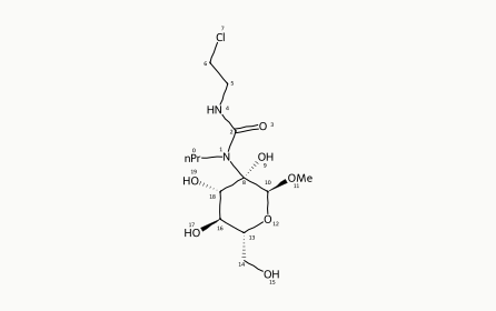 CCCN(C(=O)NCCCl)[C@@]1(O)[C@@H](OC)O[C@H](CO)[C@@H](O)[C@@H]1O